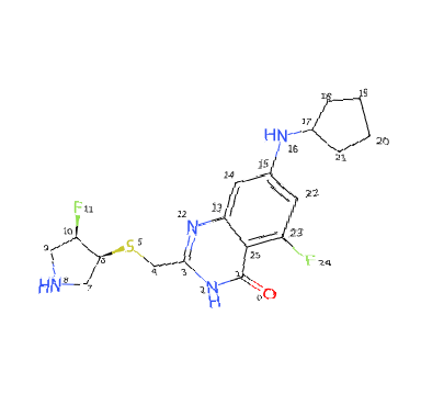 O=c1[nH]c(CS[C@H]2CNC[C@H]2F)nc2cc(NC3CCCC3)cc(F)c12